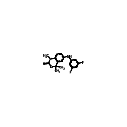 CN1C(=O)OC(C)(C)c2cc(Nc3cc(F)cc(F)c3)ccc21